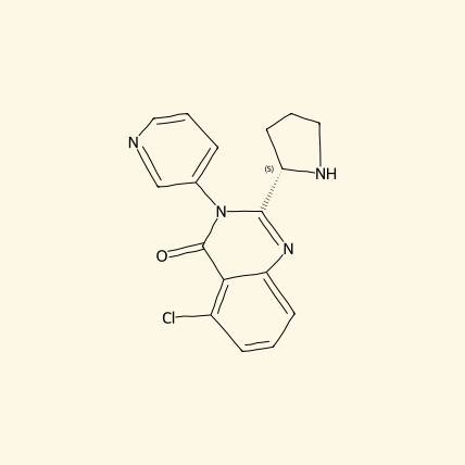 O=c1c2c(Cl)cccc2nc([C@@H]2CCCN2)n1-c1cccnc1